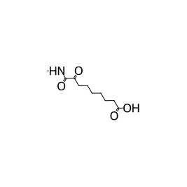 [NH]C(=O)C(=O)CCCCCCC(=O)O